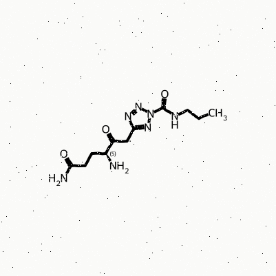 CCCNC(=O)n1nnc([CH]C(=O)[C@@H](N)CCC(N)=O)n1